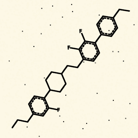 CCCc1ccc(C2CCC(CCc3ccc(-c4ccc(CC)cc4)c(F)c3F)CC2)c(F)c1